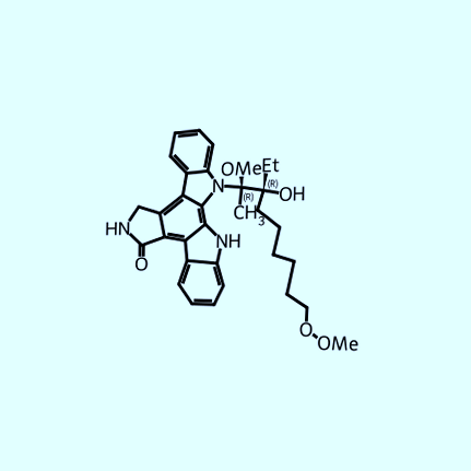 CC[C@@](O)(CCCCCCOOC)[C@@](C)(OC)n1c2ccccc2c2c3c(c4c5ccccc5[nH]c4c21)C(=O)NC3